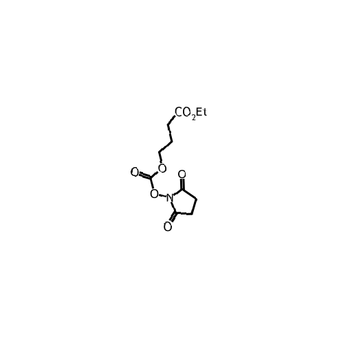 CCOC(=O)CCCOC(=O)ON1C(=O)CCC1=O